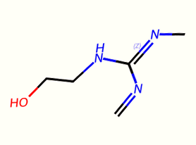 C=N/C(=N\C)NCCO